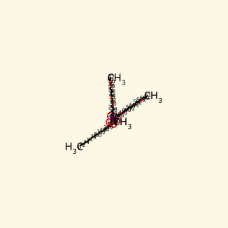 CCCCCCCCC=CCCCCCCCC(=O)OC(C)CN(C(=O)CCCCCCCC=CCCCCCCCC)C(=O)CCCCCCCC=CCCCCCCCC